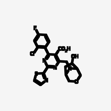 O=C(O)c1c(CN2C3COCC2C(O)C3)nc(-c2nccs2)nc1-c1ccc(F)cc1Cl